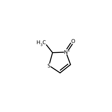 CC1SC=C[N+]1=O